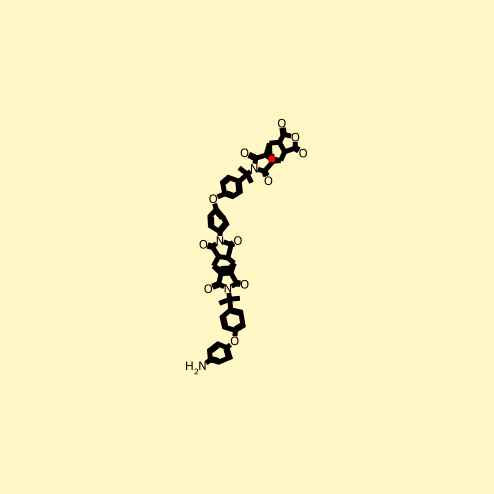 CC(C)(c1ccc(Oc2ccc(N3C(=O)C4C5C=CC(C4C3=O)C3C(=O)N(C(C)(C)c4ccc(Oc6ccc(N)cc6)cc4)C(=O)C53)cc2)cc1)N1C(=O)C2C3C=CC(C4C(=O)OC(=O)C34)C2C1=O